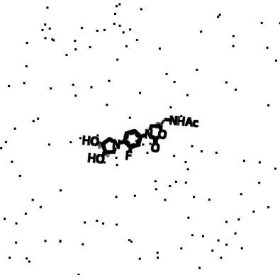 CC(=O)NC[C@H]1CN(c2ccc(N3C[C@@H](O)[C@H](O)C3)c(F)c2)C(=O)O1